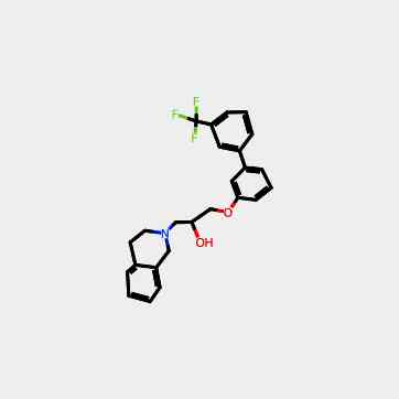 OC(COc1cccc(-c2cccc(C(F)(F)F)c2)c1)CN1CCc2ccccc2C1